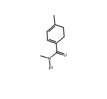 CCN(C)C(=O)C1=CC=C(C)CC1